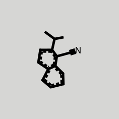 CC(C)c1ccc2ccccc2c1C#N